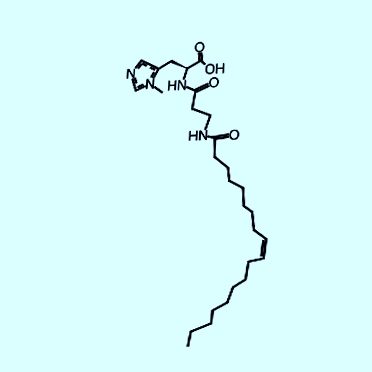 CCCCCCCC/C=C\CCCCCCCC(=O)NCCC(=O)N[C@@H](Cc1cncn1C)C(=O)O